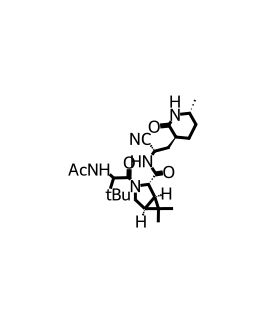 CC(=O)NC(C(=O)N1C[C@H]2[C@@H]([C@H]1C(=O)N[C@H](C#N)C[C@@H]1CC[C@@H](C)NC1=O)C2(C)C)C(C)(C)C